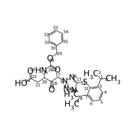 CC(C)c1cccc(C(C)C)c1Sc1nnn(CC(=O)C(CC(=O)O)NC(=O)OCc2ccccc2)n1